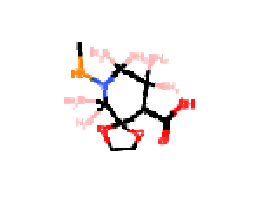 BC1(B)C(C(=O)O)C2(OCCO2)C(B)(B)N(PC)C1(B)B